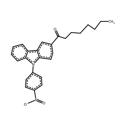 CCCCCCCC(=O)c1ccc2c(c1)c1ccccc1n2-c1ccc([N+](=O)[O-])cc1